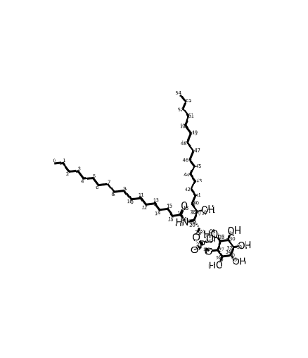 CCCCCCCCCCCCCCCCCC(=O)N[C@@H](COP(=O)(O)OC1C(O)C(O)C(O)[C@@H](O)C1O)[C@H](O)CCCCCCCCCCCCCCC